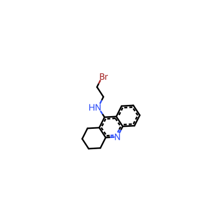 BrCCNc1c2c(nc3ccccc13)CCCC2